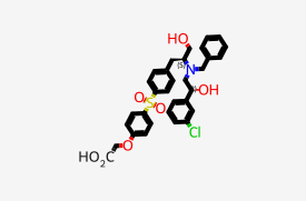 O=C(O)COc1ccc(S(=O)(=O)c2ccc(C[C@@H](CO)N(Cc3ccccc3)C[C@H](O)c3cccc(Cl)c3)cc2)cc1